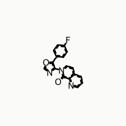 O=c1c2ncccc2ccn1-c1ncoc1-c1ccc(F)cc1